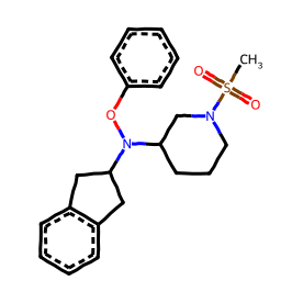 CS(=O)(=O)N1CCCC(N(Oc2ccccc2)C2Cc3ccccc3C2)C1